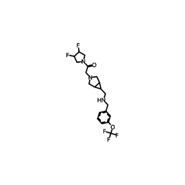 O=C(CN1CC2C(CNCc3cccc(OC(F)(F)F)c3)C2C1)N1CC(F)C(F)C1